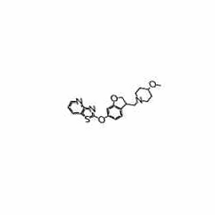 COC1CCN(CC2COc3cc(Oc4nc5ncccc5s4)ccc32)CC1